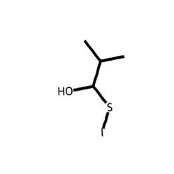 CC(C)C(O)SI